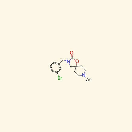 CC(=O)N1CCC2(CC1)CN(Cc1cccc(Br)c1)C(=O)O2